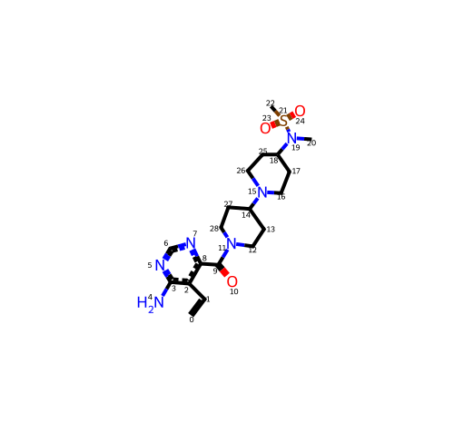 C=Cc1c(N)ncnc1C(=O)N1CCC(N2CCC(N(C)S(C)(=O)=O)CC2)CC1